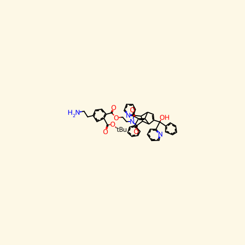 CC(C)(C)OC(=O)c1cc(CCN)ccc1C(=O)OCCN1C(=O)C2C3C=C(C(O)(c4ccccc4)c4ccccn4)C(C3=C(c3ccccc3)c3ccccn3)C2C1=O